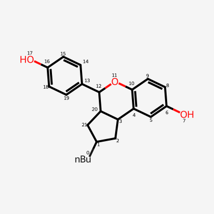 CCCCC1CC2c3cc(O)ccc3OC(c3ccc(O)cc3)C2C1